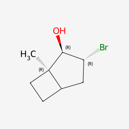 C[C@@]12CCC1C[C@@H](Br)[C@@H]2O